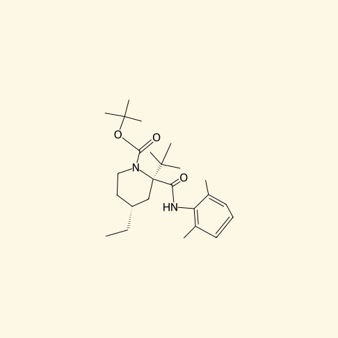 CC[C@@H]1CCN(C(=O)OC(C)(C)C)[C@](C(=O)Nc2c(C)cccc2C)(C(C)(C)C)C1